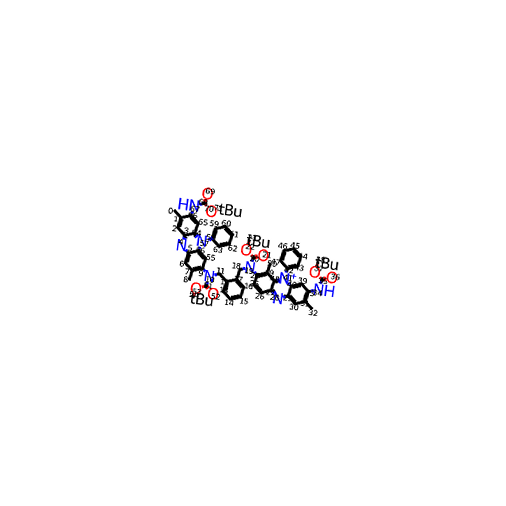 Cc1cc2nc3cc(C)c(N(Cc4ccccc4CN(C(=O)OC(C)(C)C)c4ccc5nc6cc(C)c(NC(=O)OC(C)(C)C)cc6[n+](-c6ccccc6)c5c4C)C(=O)OC(C)(C)C)cc3[n+](-c3ccccc3)c2cc1NC(=O)OC(C)(C)C